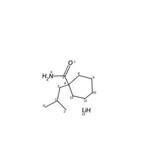 CC(C)CC1(C(N)=O)CCCCC1.[LiH]